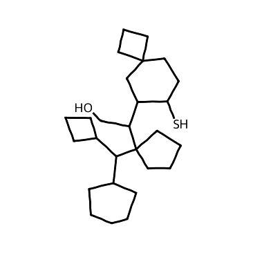 OCC(C1CC2(CCC2)CCC1S)C1(C(C2CCCCC2)C2CCC2)CCCC1